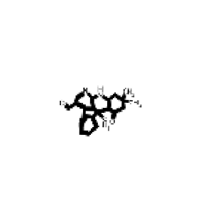 CC1(C)CC(=O)C2=C(C1)Nc1ncc(C=O)c(C#N)c1C2(C)c1ccccc1